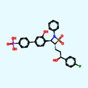 O=P(O)(O)c1ccc(-c2ccc([C@@H]3[C@@H](CC[C@H](O)c4ccc(F)cc4)S(=O)(=O)N3c3ccccc3)c(O)c2)cc1